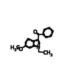 CCn1cc(C(=O)c2ccccc2)c2ccc(OC)cc21